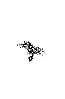 CC(C)(C)OC(=O)[C@H](Cc1ccc(OC(C)(C)C)cc1)NC(=O)[C@H](Cc1ccccc1)NC(=O)CCOCCN